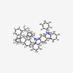 CC1(C)c2ccccc2C2(c3ccccc3-c3ccccc32)c2cc(-n3c4ccccc4c4cc5c6ccccc6n(-c6ccccc6)c5cc43)ccc21